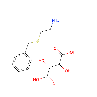 NCCSCc1ccccc1.O=C(O)C(O)C(O)C(=O)O